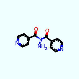 NN(C(=O)c1ccncc1)C(=O)c1ccncc1